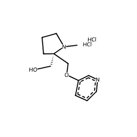 CN1CCC[C@]1(CO)COc1cccnc1.Cl.Cl